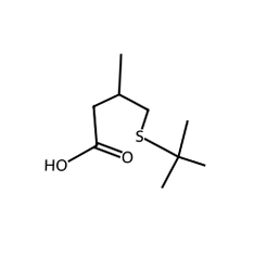 CC(CSC(C)(C)C)CC(=O)O